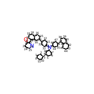 c1ccc(-c2cccc(N(c3ccc(-c4ccc5ccc6oc7cccnc7c6c5c4)cc3)c3ccc(-c4cccc5ccccc45)cc3)c2)cc1